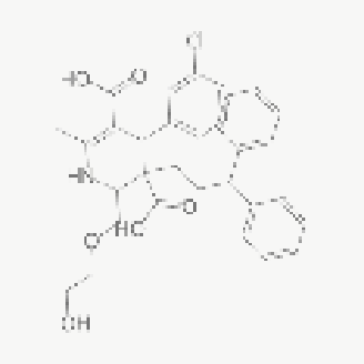 CC1=C(C(=O)O)C(c2cccc(Cl)c2)C(CCC(c2ccccc2)c2ccccc2)(C(=O)O)C(COCCO)N1